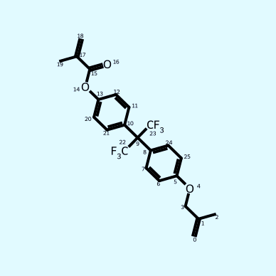 C=C(C)COc1ccc(C(c2ccc(OC(=O)C(=C)C)cc2)(C(F)(F)F)C(F)(F)F)cc1